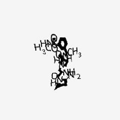 CNS(=O)(=O)c1cccc([C@@H](C)N2C(=O)[C@@H]3C[C@H]2CN3C[C@H](N)C(=O)N2[C@H](C#N)CC3C[C@@H]32)c1